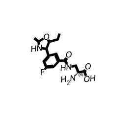 CCC1OC(C)NC1c1cc(F)cc(C(=O)NC[C@@H](N)C(=O)O)c1